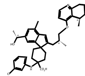 Cc1cc([C@@H](C)O)cc2c1C=C(C[C@@H](C)COc1ccnc3c1[C@H](C)CCC3)C21CCC(Nc2cccc(Cl)c2)(C(=O)O)CC1